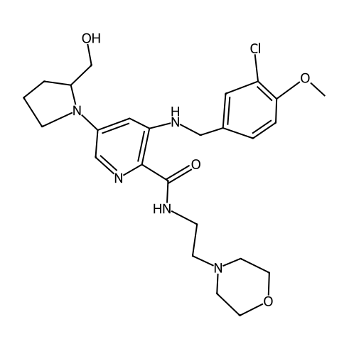 COc1ccc(CNc2cc(N3CCCC3CO)cnc2C(=O)NCCN2CCOCC2)cc1Cl